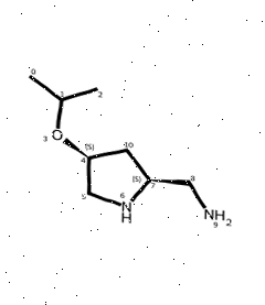 CC(C)O[C@@H]1CN[C@H](CN)C1